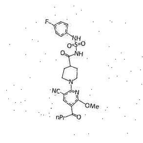 CCCC(=O)c1cc(C#N)c(N2CCC(C(=O)NS(=O)(=O)Nc3ccc(F)cc3)CC2)nc1OC